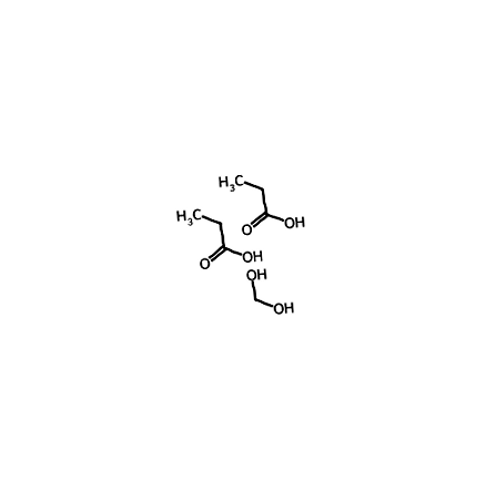 CCC(=O)O.CCC(=O)O.OCO